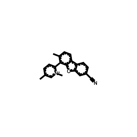 Cc1ccc(-c2c(C)ccc3c2oc2cc(C#N)ccc23)[n+](C)c1